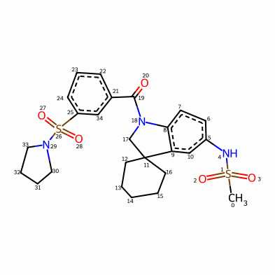 CS(=O)(=O)Nc1ccc2c(c1)C1(CCCCC1)CN2C(=O)c1cccc(S(=O)(=O)N2CCCC2)c1